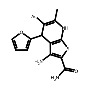 CC(=O)C1=C(C)Nc2sc(C(N)=O)c(N)c2C1c1ccco1